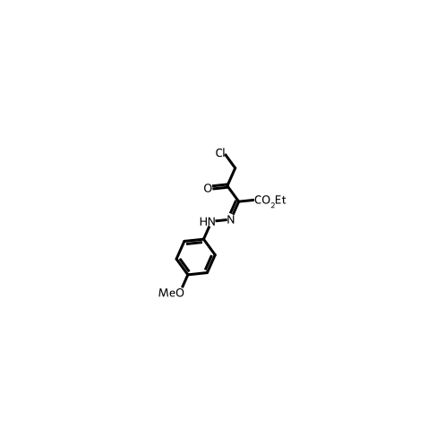 CCOC(=O)/C(=N/Nc1ccc(OC)cc1)C(=O)CCl